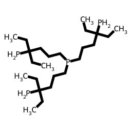 CCC(P)(CC)CCCP(CCCC(P)(CC)CC)CCCC(P)(CC)CC